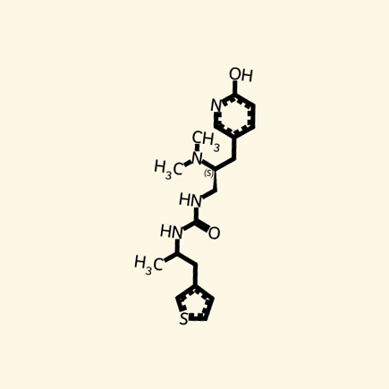 CC(Cc1ccsc1)NC(=O)NC[C@H](Cc1ccc(O)nc1)N(C)C